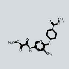 COC(=O)C(=O)Nc1cnc(O[C@H]2CC[C@H](C(=O)OC)CC2)c(C)c1